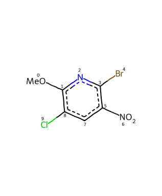 COc1nc(Br)c([N+](=O)[O-])cc1Cl